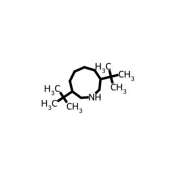 CC(C)(C)C1CCCCC(C(C)(C)C)CNC1